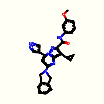 COc1cccc(NC(=O)c2nn3c(-c4cn[nH]c4)cc(N4Cc5ccccc5C4)nc3c2C2CC2)c1